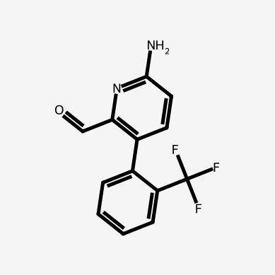 Nc1ccc(-c2ccccc2C(F)(F)F)c(C=O)n1